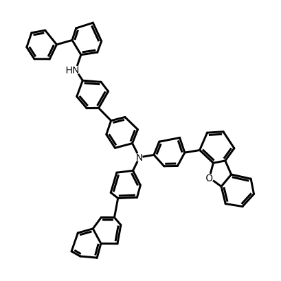 c1ccc(-c2ccccc2Nc2ccc(-c3ccc(N(c4ccc(-c5ccc6ccccc6c5)cc4)c4ccc(-c5cccc6c5oc5ccccc56)cc4)cc3)cc2)cc1